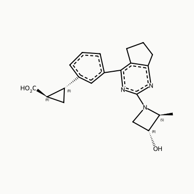 C[C@H]1[C@H](O)CN1c1nc2c(c(-c3cccc([C@@H]4C[C@H]4C(=O)O)c3)n1)CCC2